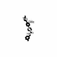 COc1cc(N2CCN(C(=O)NCc3cccc(C)c3)CC2)ccc1-c1cnc(C)o1